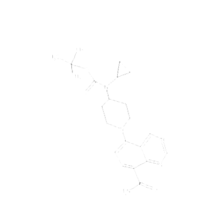 CC(C)(C)OC(=O)N(C1CC1)C1CCN(c2ccc(C(N)=O)c3ncncc23)CC1